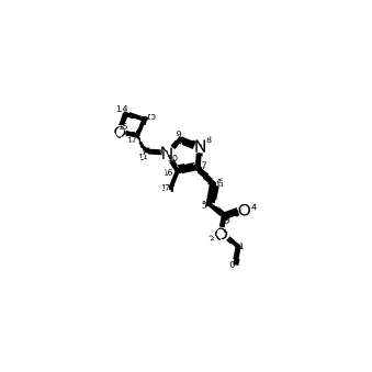 CCOC(=O)/C=C/c1ncn(C[C@@H]2CCO2)c1C